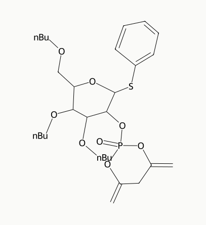 C=C1CC(=C)OP(=O)(OC2C(Sc3ccccc3)OC(COCCCC)C(OCCCC)C2OCCCC)O1